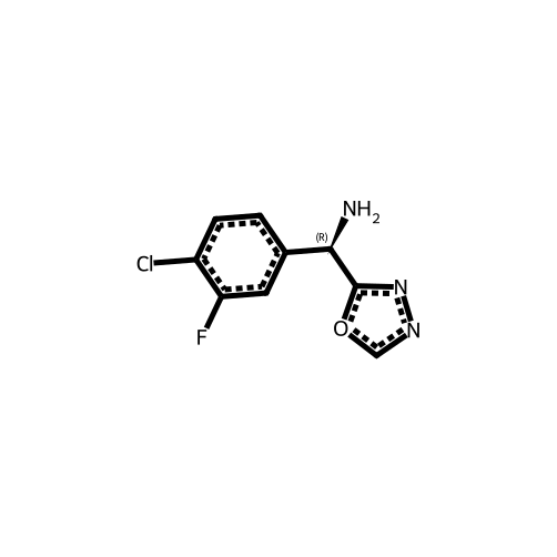 N[C@H](c1ccc(Cl)c(F)c1)c1nnco1